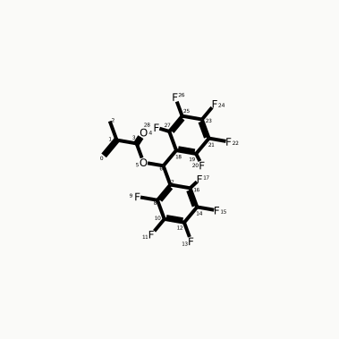 C=C(C)C(=O)OC(c1c(F)c(F)c(F)c(F)c1F)c1c(F)c(F)c(F)c(F)c1F